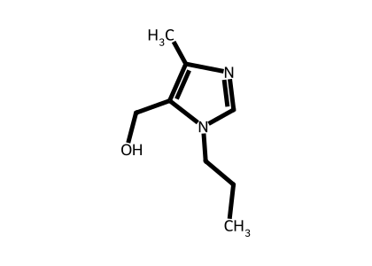 CCCn1cnc(C)c1CO